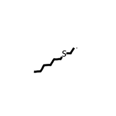 [CH2]CSCCCCCC